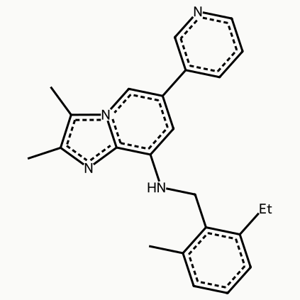 CCc1cccc(C)c1CNc1cc(-c2cccnc2)cn2c(C)c(C)nc12